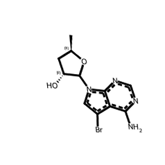 C[C@@H]1C[C@@H](O)C(n2cc(Br)c3c(N)ncnc32)O1